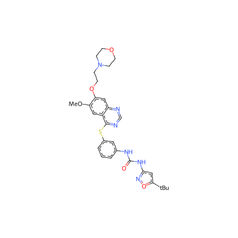 COc1cc2c(Sc3cccc(NC(=O)Nc4cc(C(C)(C)C)on4)c3)ncnc2cc1OCCN1CCOCC1